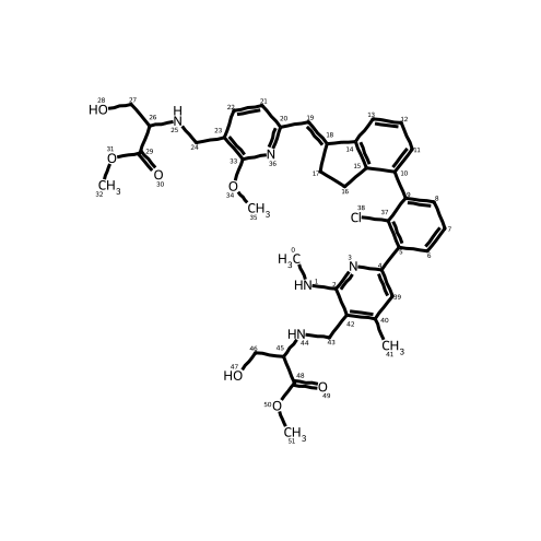 CNc1nc(-c2cccc(-c3cccc4c3CC/C4=C\c3ccc(CNC(CO)C(=O)OC)c(OC)n3)c2Cl)cc(C)c1CNC(CO)C(=O)OC